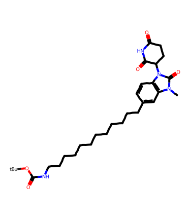 Cn1c(=O)n(C2CCC(=O)NC2=O)c2ccc(CCCCCCCCCCCCNC(=O)OC(C)(C)C)cc21